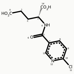 O=C(O)CC[C@@H](NC(=O)c1ccc(Cl)nc1)C(=O)O